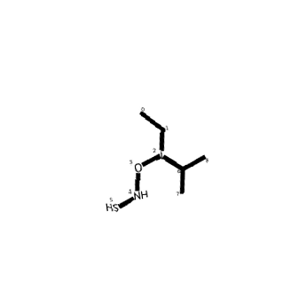 CCI(ONS)C(C)C